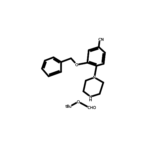 CC(C)(C)OC=O.N#Cc1ccc(N2CCNCC2)c(OCc2ccccc2)c1